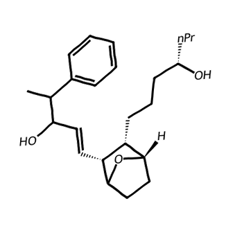 CCC[C@H](O)CCC[C@@H]1[C@@H]2CCC(O2)[C@@H]1C=CC(O)C(C)c1ccccc1